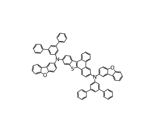 c1ccc(-c2cc(-c3ccccc3)cc(N(c3ccc4c(c3)sc3c5ccc(N(c6cc(-c7ccccc7)cc(-c7ccccc7)c6)c6ccc7oc8ccccc8c7c6)cc5c5ccccc5c43)c3ccc4oc5ccccc5c4c3)c2)cc1